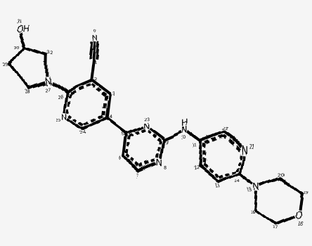 N#Cc1cc(-c2ccnc(Nc3ccc(N4CCOCC4)nc3)n2)cnc1N1CCC(O)C1